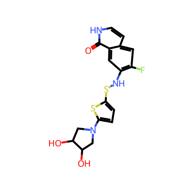 O=c1[nH]ccc2cc(F)c(NSc3ccc(N4CC(O)C(O)C4)s3)cc12